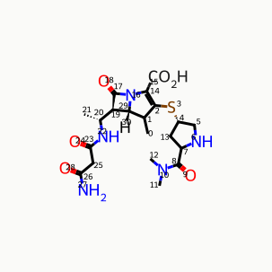 CC1C(S[C@@H]2CNC(C(=O)N(C)C)C2)=C(C(=O)O)N2C(=O)[C@H]([C@@H](C)NC(=O)CC(N)=O)[C@@H]12